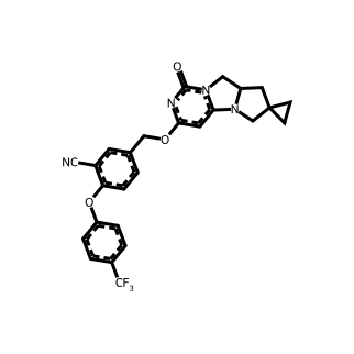 N#Cc1cc(COc2cc3n(c(=O)n2)CC2CC4(CC4)CN32)ccc1Oc1ccc(C(F)(F)F)cc1